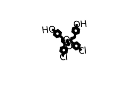 O=S(=O)(C(C=Cc1ccc(O)cc1)c1ccc(Cl)cc1)C(C=Cc1ccc(O)cc1)c1ccc(Cl)cc1